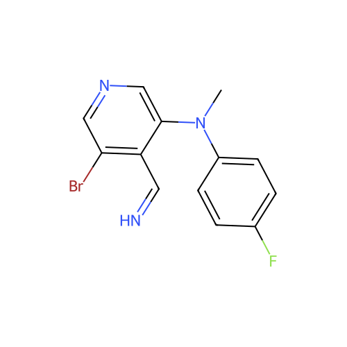 CN(c1ccc(F)cc1)c1cncc(Br)c1C=N